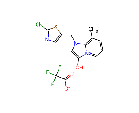 Cc1ccc[n+]2c(O)cn(Cc3cnc(Cl)s3)c12.O=C([O-])C(F)(F)F